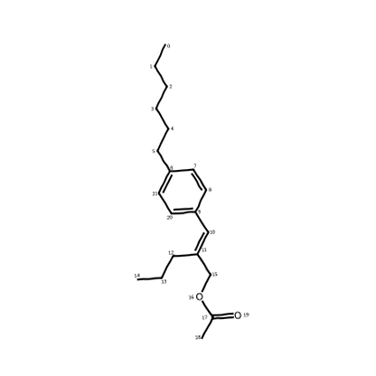 CCCCCCc1ccc(/C=C(\CCC)COC(C)=O)cc1